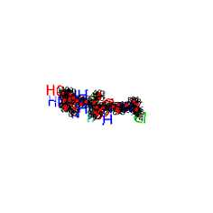 Cc1ncsc1-c1ccc([C@H](C)NC(=O)[C@@H]2C[C@@H](O)CN2C(=O)[C@@H](NC(=O)CC(=O)N2CCN(CC[C@H](CSc3ccccc3)Nc3ccc(S(=O)(=O)NC(=O)c4ccc5c(c4)CCC4CN(CC6=C(c7ccc(Cl)cc7)CCC(C)(C)C6)CCN54)cc3S(=O)(=O)C(F)(F)F)CC2)C(C)(C)C)cc1